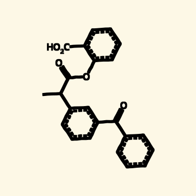 CC(C(=O)Oc1ccccc1C(=O)O)c1cccc(C(=O)c2ccccc2)c1